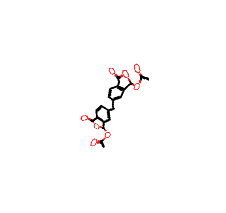 CC(=O)OC1OC(=O)c2ccc(Cc3ccc4c(c3)C(OC(C)=O)OC4=O)cc21